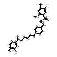 COc1cc(N)c(Cl)cc1C(=O)NCC1CCN(CCCCCC(=O)c2ccc(C)c(Cl)c2)CC1